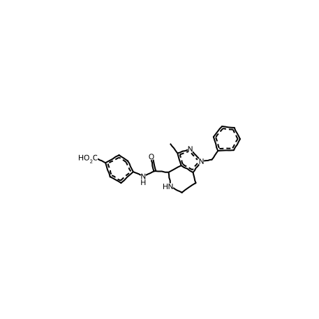 Cc1nn(Cc2ccccc2)c2c1C(C(=O)Nc1ccc(C(=O)O)cc1)NCC2